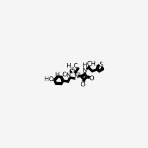 C=CCN(CC(Cc1ccc(O)cc1)N(C)C)c1c(NC(C)Cc2ccsc2)c(=O)c1=O